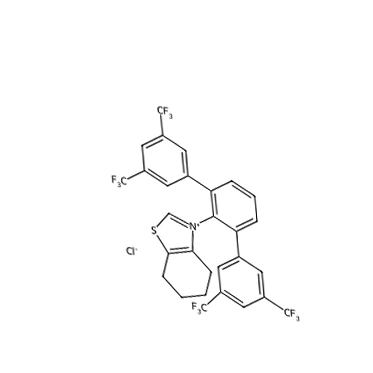 FC(F)(F)c1cc(-c2cccc(-c3cc(C(F)(F)F)cc(C(F)(F)F)c3)c2-[n+]2csc3c2CCCC3)cc(C(F)(F)F)c1.[Cl-]